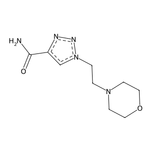 NC(=O)c1cn(CCN2CCOCC2)nn1